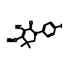 COC1=C(C#N)C(=O)N(c2ccc(I)cc2)CC1(C)C